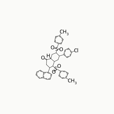 Cc1ccc(S(=O)(=O)C2C[C@H]3C(=O)CC(c4cccc5ccccc45)C(S(=O)(=O)c4ccc(C)cc4)C3CC2c2ccc(Cl)cc2)cc1